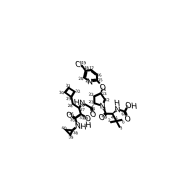 CC(C)(C)[C@H](NC(=O)O)C(=O)N1C[C@H](Oc2ccc(Cl)cn2)C[C@H]1C(=O)NC(CC1CCC1)C(O)C(=O)NC1CC1